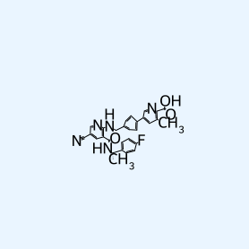 Cc1cc(-c2ccc(CNc3ncc(C#N)cc3C(=O)N[C@@H](C)c3ccc(F)cc3)cc2)cnc1C(=O)O